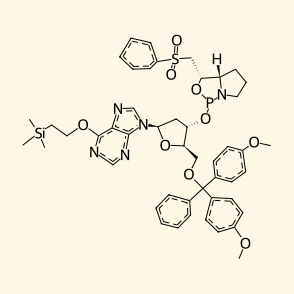 COc1ccc(C(OC[C@H]2O[C@@H](n3cnc4c(OCC[Si](C)(C)C)ncnc43)C[C@@H]2OP2O[C@H](CS(=O)(=O)c3ccccc3)[C@@H]3CCCN32)(c2ccccc2)c2ccc(OC)cc2)cc1